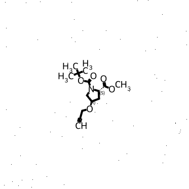 C#CCO[C@@H]1C[C@@H](C(=O)OC)N(C(=O)OC(C)(C)C)C1